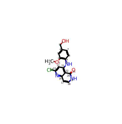 COc1cc(CO)ccc1Nc1cc(Cl)nc2cc[nH]c(=O)c12